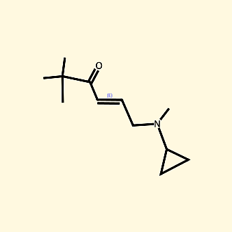 CN(C/C=C/C(=O)C(C)(C)C)C1CC1